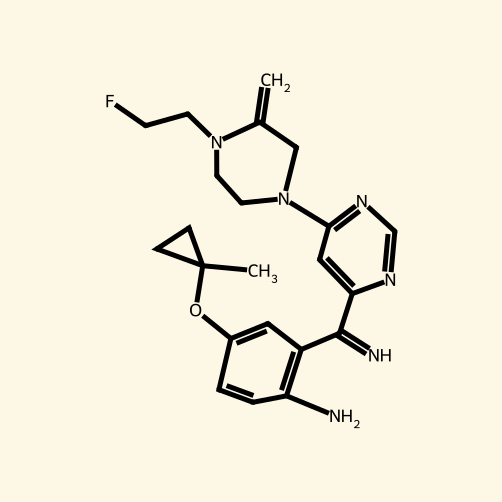 C=C1CN(c2cc(C(=N)c3cc(OC4(C)CC4)ccc3N)ncn2)CCN1CCF